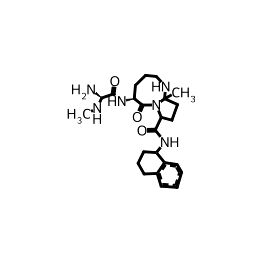 CN[C@@H](N)C(=O)N[C@H]1CCCNC2(C)CCC(C(=O)NC3CCCc4ccccc43)N2C1=O